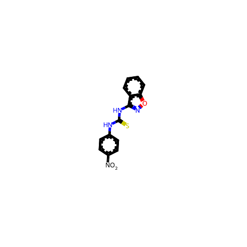 O=[N+]([O-])c1ccc(NC(=S)Nc2noc3ccccc23)cc1